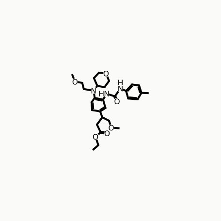 CCOC(=O)CC(COC)c1ccc(N(CCOC)C2CCOCC2)c(NC(=O)Nc2ccc(C)cc2)c1